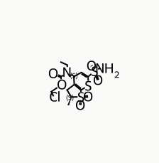 CCN(C(=O)OCCl)[C@H]1C=C(S(N)(=O)=O)SC2=C1C[C@H](C)S2(=O)=O